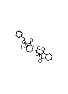 O=C(ON1C(=O)C2CCCCC2C1=O)[C@@H]1CC[C@@H]2CN1C(=O)N2OCc1ccccc1